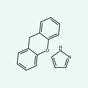 c1ccc2c(c1)Cc1ccccc1O2.c1cn[nH]c1